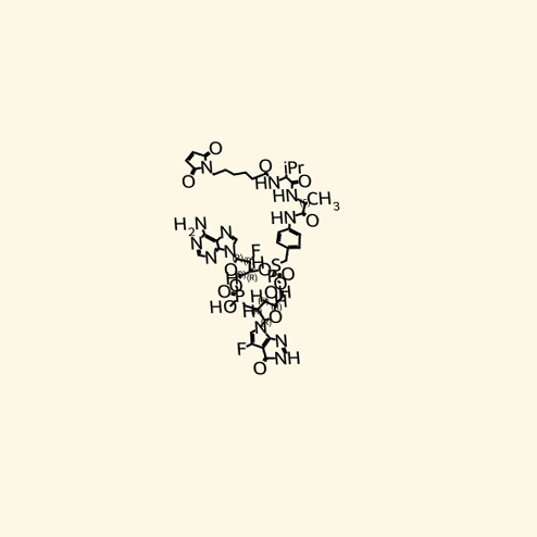 CC(C)C(NC(=O)CCCCCN1C(=O)C=CC1=O)C(=O)N[C@@H](C)C(=O)Nc1ccc(CSP2(=O)OC[C@H]3O[C@@H](n4cc(F)c5c(=O)[nH]cnc54)[C@H](CP(=O)(O)O[C@H]4O[C@@H](n5cnc6c(N)ncnc65)[C@H](F)[C@@H]4O2)[C@@H]3O)cc1